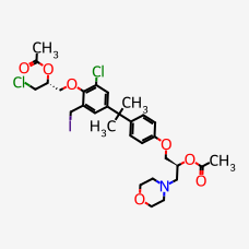 CC(=O)O[C@H](COc1ccc(C(C)(C)c2cc(Cl)c(OC[C@H](CCl)OC(C)=O)c(CI)c2)cc1)CN1CCOCC1